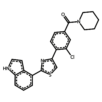 O=C(c1ccc(-c2csc(-c3cccc4[nH]ccc34)n2)c(Cl)c1)N1CCCCC1